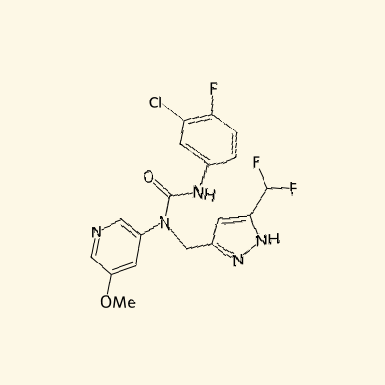 COc1cncc(N(Cc2cc(C(F)F)[nH]n2)C(=O)Nc2ccc(F)c(Cl)c2)c1